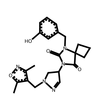 Cc1noc(C)c1CN1CC(N2C(=O)N(Cc3cccc(O)c3)C3(CCC3)C2=O)C=N1